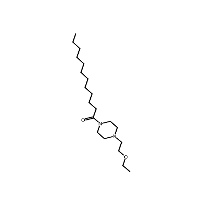 CCCCCCCCCCCC(=O)N1CCN(CCOCC)CC1